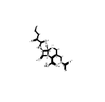 CCCC(=O)C(=O)N[C@@H]1C(=O)N2C(C(=O)O)=C(COC(C)=O)CS[C@@H]12